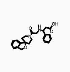 O=C(O)CC(NCC(=O)N1CCC2(CC1)OCc1ccccc12)c1ccccc1